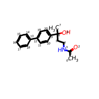 CC(=O)NCCC(C)(O)c1ccc(-c2ccccc2)cc1